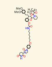 CCC(C)(C)C(=O)C(=O)N1CCCCC1C(=O)C[C@H](CCc1ccc(OC)c(OC)c1)c1cccc(OCC(=O)NCCCCCCCCOc2ccc(N3CCN(C4CCC(=O)NC4=O)C3=O)cc2)c1